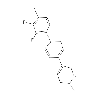 Cc1ccc(-c2ccc(C3=CCC(C)OC3)cc2)c(F)c1F